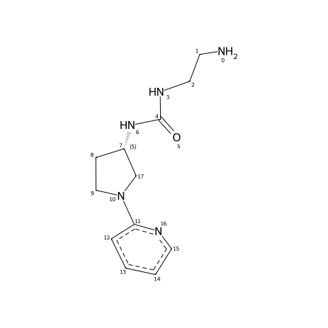 NCCNC(=O)N[C@H]1CCN(c2ccccn2)C1